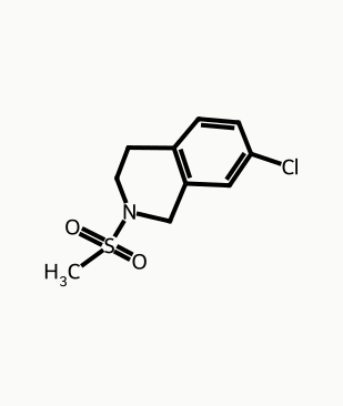 CS(=O)(=O)N1CCc2ccc(Cl)cc2C1